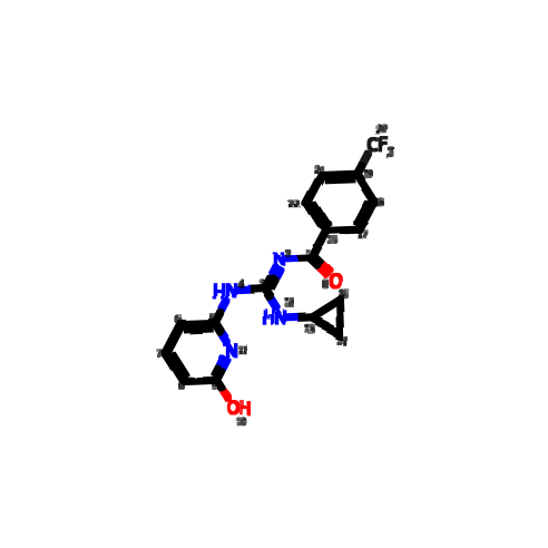 O=C(/N=C(/Nc1cccc(O)n1)NC1CC1)c1ccc(C(F)(F)F)cc1